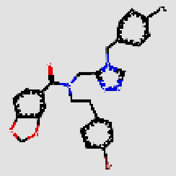 N#Cc1ccc(Cn2cnnc2CN(CCc2ccc(Br)cc2)C(=O)c2ccc3c(c2)OCO3)cc1